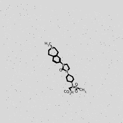 CN1CCc2ccc(N3CCN([C@H]4CC[C@H](N(CC(=O)O)S(C)(=O)=O)CC4)C3=O)cc2CC1